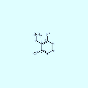 NCc1c(F)[c]ccc1Cl